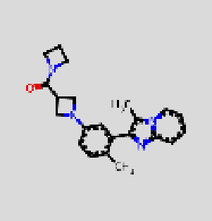 Cc1ccc(N2CC(C(=O)N3CCC3)C2)cc1-c1nc2ccccn2c1C